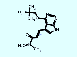 CN(C)C(=O)/C=C/c1c[nH]c2ncnc(OCC(C)(C)C)c12